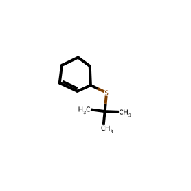 CC(C)(C)SC1C=CCCC1